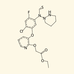 CCOC(=O)COc1ncccc1Oc1cc(N(C=S)N2CCCCN2)c(F)cc1Cl